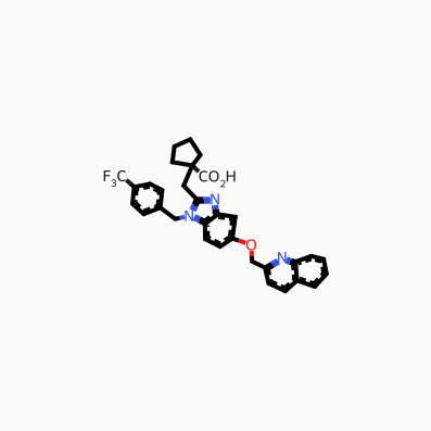 O=C(O)C1(Cc2nc3cc(OCc4ccc5ccccc5n4)ccc3n2Cc2ccc(C(F)(F)F)cc2)CCCC1